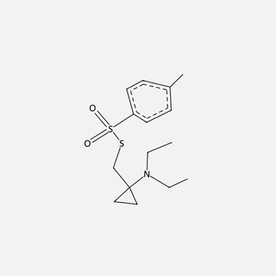 CCN(CC)C1(CSS(=O)(=O)c2ccc(C)cc2)CC1